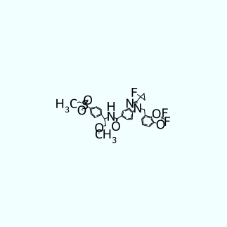 CCS(=O)(=O)c1ccc(C(COC)NC(=O)c2ccc3c(c2)nc(C2(F)CC2)n3Cc2cccc3c2OC(F)(F)O3)cc1